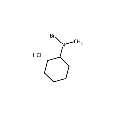 CN(Br)C1CCCCC1.Cl